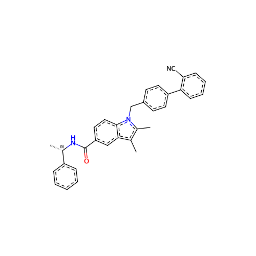 Cc1c(C)n(Cc2ccc(-c3ccccc3C#N)cc2)c2ccc(C(=O)N[C@@H](C)c3ccccc3)cc12